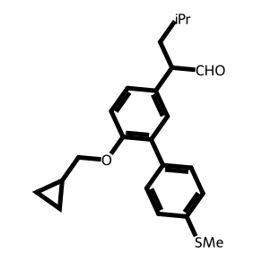 CSc1ccc(-c2cc(C(C=O)CC(C)C)ccc2OCC2CC2)cc1